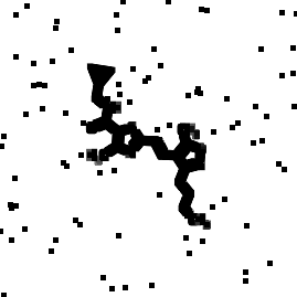 CCCCc1noc(C)c1/C=C/c1nc(C)c(C(=O)NCC2CC2)s1